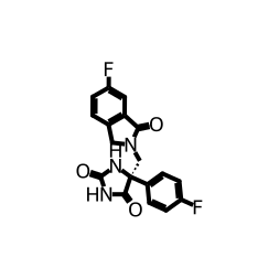 O=C1NC(=O)[C@](CN2Cc3ccc(F)cc3C2=O)(c2ccc(F)cc2)N1